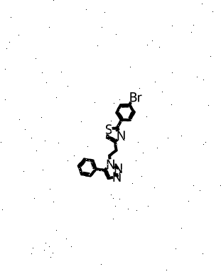 Brc1ccc(-c2nc(CCn3nncc3-c3ccccc3)cs2)cc1